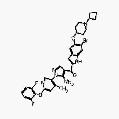 Cc1cc(Oc2c(F)cccc2F)ncc1-n1ncc(C(=O)c2cc3cc(OC4CCN(C5CCC5)CC4)c(Br)cc3[nH]2)c1N